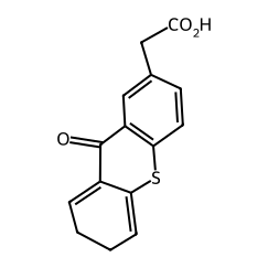 O=C(O)Cc1ccc2sc3c(c(=O)c2c1)=CCCC=3